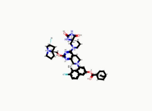 CCc1c(F)ccc2cc(OC(=O)C34CCC(CC3)CC4)cc(N3CCc4c(nc(OC[C@@]56CCCN5C[C@H](F)C6)nc4N4CCC[C@]5(C4)NC(=O)NC5=O)C3)c12